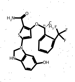 C[C@@H](Oc1cc(N2CNc3ccc(O)cc32)sc1C(N)=O)c1ccccc1C(F)(F)F